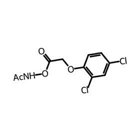 CC(=O)NOC(=O)COc1ccc(Cl)cc1Cl